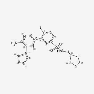 Cc1ccc(S(=O)(=O)NCC2CCCO2)cc1-c1cnc(N)c(-n2cncn2)n1